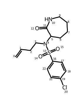 C=CCCN(C1CCCCNC1=O)S(=O)(=O)c1ccc(Cl)cc1